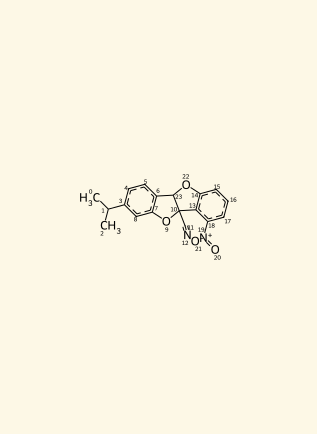 CC(C)c1ccc2c(c1)OC1(C#N)c3c(cccc3[N+](=O)[O-])OC21